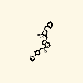 CCN(Cc1ccc(-n2cccn2)cc1)c1ncnc2c1ccn2C[C@@]1(O)CCN(Cc2ccccc2)C[C@@H]1O